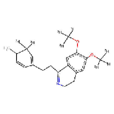 [2H]C([2H])([2H])Oc1cc2c(cc1OC([2H])([2H])[2H])C(CCC1=CC([2H])([2H])C(C(F)(F)F)C=C1)=NCC2